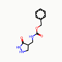 O=C(NCC1CNNC1=O)OCc1ccccc1